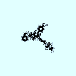 COc1ccc(COc2nc(N3CCc4ccccc43)ncc2C(=O)NCCCCNC(=O)OC(C)(C)C)cc1